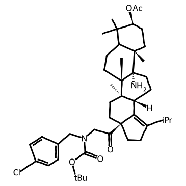 CC(=O)O[C@H]1CC[C@@]2(C)C(CC[C@]3(C)[C@]2(N)CC[C@@H]2C4=C(C(C)C)CC[C@]4(C(=O)CN(Cc4ccc(Cl)cc4)C(=O)OC(C)(C)C)CC[C@]23C)C1(C)C